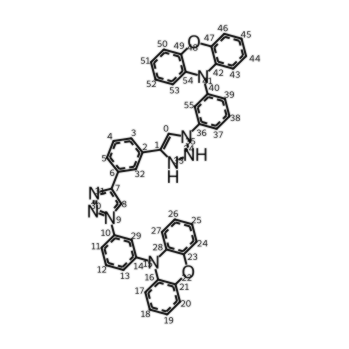 C1=C(c2cccc(-c3cn(-c4cccc(N5c6ccccc6Oc6ccccc65)c4)nn3)c2)NNN1c1cccc(N2c3ccccc3Oc3ccccc32)c1